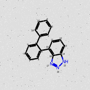 c1ccc(-c2ccccc2-c2cccc3[nH]nnc23)cc1